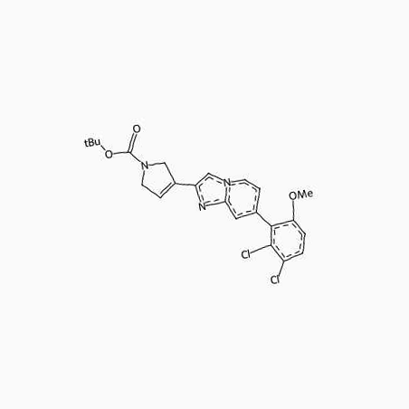 COc1ccc(Cl)c(Cl)c1-c1ccn2cc(C3=CCN(C(=O)OC(C)(C)C)C3)nc2c1